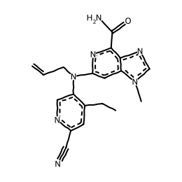 C=CCN(c1cc2c(ncn2C)c(C(N)=O)n1)c1cnc(C#N)cc1CC